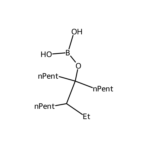 CCCCCC(CC)C(CCCCC)(CCCCC)OB(O)O